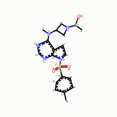 CB(O)N1CC(N(C)c2ncnc3c2ccn3S(=O)(=O)c2ccc(C)cc2)C1